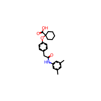 Cc1cc(C)cc(NC(=O)Cc2ccc(OC3(C(=O)O)CCCCC3)cc2)c1